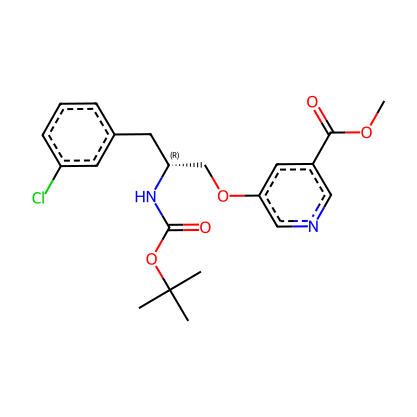 COC(=O)c1cncc(OC[C@@H](Cc2cccc(Cl)c2)NC(=O)OC(C)(C)C)c1